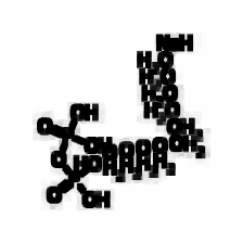 O.O.O.O.O.O.O.O.O.O.O=P(O)(O)OP(=O)(O)O.[NaH]